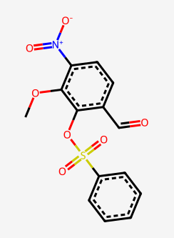 COc1c([N+](=O)[O-])ccc(C=O)c1OS(=O)(=O)c1ccccc1